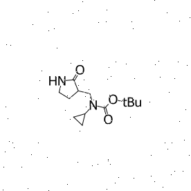 CC(C)(C)OC(=O)N(CC1CCNC1=O)C1CC1